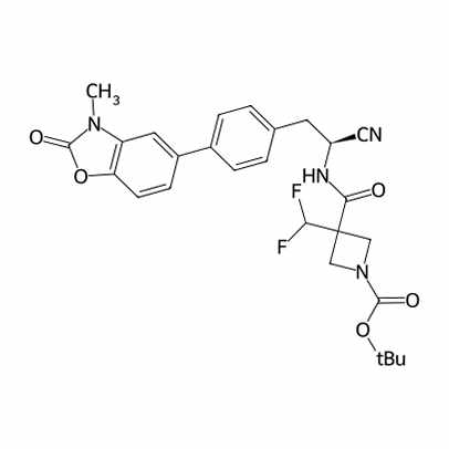 Cn1c(=O)oc2ccc(-c3ccc(C[C@@H](C#N)NC(=O)C4(C(F)F)CN(C(=O)OC(C)(C)C)C4)cc3)cc21